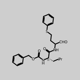 CC(C)C[C@H](NC(=O)OCc1ccccc1)C(=O)NC(C=O)CCSc1ccccc1